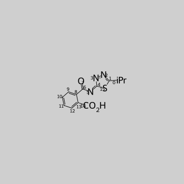 CC(C)C1=N[N]C(=NC(=O)c2ccccc2C(=O)O)S1